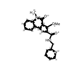 COc1c(C(=O)NCc2ccccn2)sc2c1c(=O)n(C)c1ccccc21